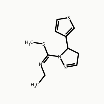 CC/N=C(/SC)N1N=CCC1c1ccsc1